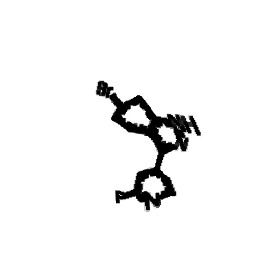 Fc1cc(-c2n[nH]c3cc(Br)ccc23)ccn1